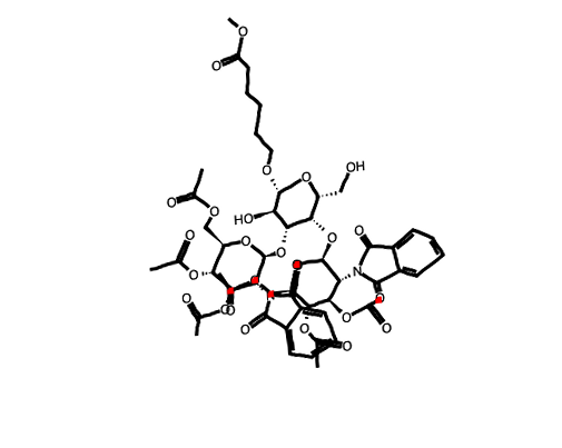 COC(=O)CCCCCO[C@@H]1O[C@H](CO)[C@H](O[C@@H]2O[C@H](COC(C)=O)[C@@H](OC(C)=O)[C@H](OC(C)=O)[C@H]2N2C(=O)c3ccccc3C2=O)[C@H](O[C@@H]2O[C@H](COC(C)=O)[C@@H](OC(C)=O)[C@H](OC(C)=O)[C@H]2N2C(=O)c3ccccc3C2=O)[C@H]1O